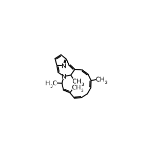 CC1=C/C/C=C\C(C)=C\C(C)N2/C=C3/C=CC(=N3)\C=C(/C=C\1)C2C